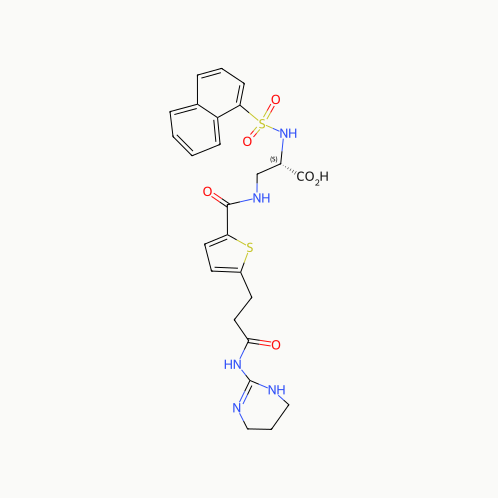 O=C(CCc1ccc(C(=O)NC[C@H](NS(=O)(=O)c2cccc3ccccc23)C(=O)O)s1)NC1=NCCCN1